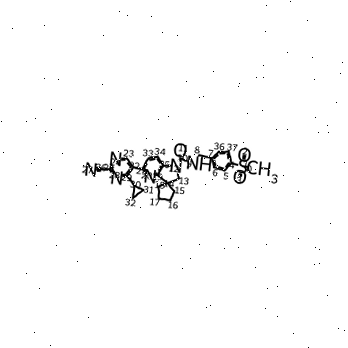 CS(=O)(=O)c1ccc(CNC(=O)N2CC3(CCCC3)c3nc(-c4cnc(C#N)nc4C4CC4)ccc32)cc1